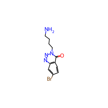 NCCCCn1nnc2cc(Br)ccc2c1=O